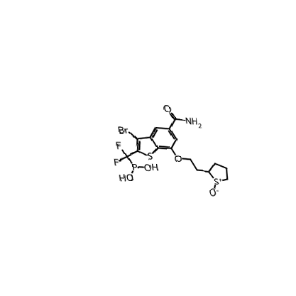 NC(=O)c1cc(OCCC2CCC[S+]2[O-])c2sc(C(F)(F)P(O)O)c(Br)c2c1